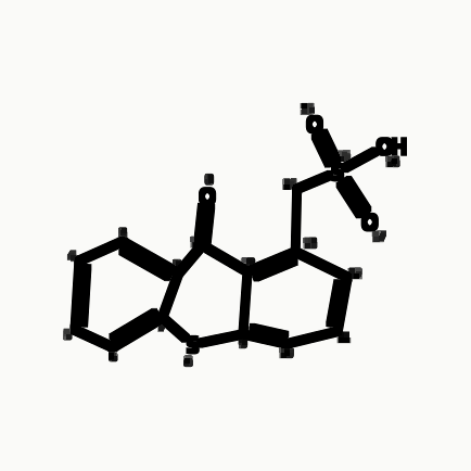 O=c1c2ccccc2sc2cccc(CS(=O)(=O)O)c12